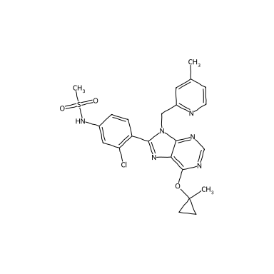 Cc1ccnc(Cn2c(-c3ccc(NS(C)(=O)=O)cc3Cl)nc3c(OC4(C)CC4)ncnc32)c1